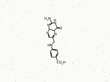 NC1=NC2N=CC(CNc3ccc(C(=O)O)cc3)=NC2C(=O)N1